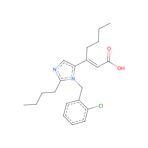 CCCCC(=CC(=O)O)c1cnc(CCCC)n1Cc1ccccc1Cl